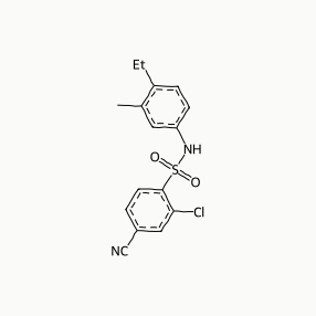 CCc1ccc(NS(=O)(=O)c2ccc(C#N)cc2Cl)cc1C